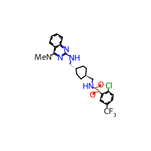 CNc1nc(NC[C@H]2CC[C@H](CNS(=O)(=O)c3cc(C(F)(F)F)ccc3Cl)CC2)nc2ccccc12